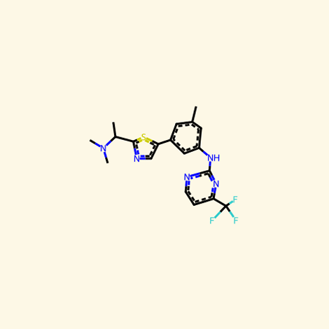 Cc1cc(Nc2nccc(C(F)(F)F)n2)cc(-c2cnc(C(C)N(C)C)s2)c1